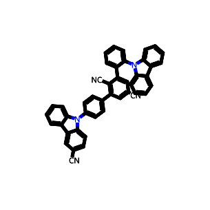 N#Cc1cc(-c2ccc(-n3c4ccccc4c4cc(C#N)ccc43)cc2)c(C#N)c(-c2ccccc2-n2c3ccccc3c3ccccc32)c1